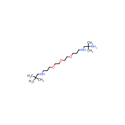 CC(C)(C)CNCCCOCCOCCOCCCNCC(C)(C)N